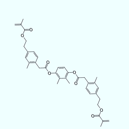 C=C(C)C(=O)OCCc1ccc(CC(=O)Oc2ccc(OC(=O)Cc3ccc(CCOC(=O)C(=C)C)cc3C)c(C)c2C)c(C)c1